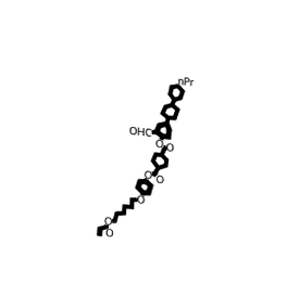 C=CC(=O)OCCCCCCOc1ccc(OC(=O)C2CCC(C(=O)Oc3ccc(C4CCC(C5CCC(CCC)CC5)CC4)cc3C=O)CC2)cc1